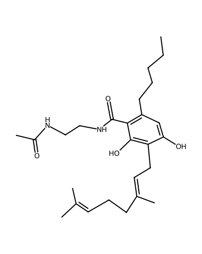 CCCCCc1cc(O)c(C/C=C(\C)CCC=C(C)C)c(O)c1C(=O)NCCNC(C)=O